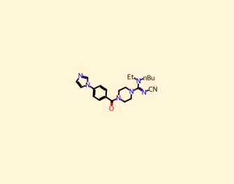 CCCCN(CC)C(=NC#N)N1CCN(C(=O)c2ccc(-n3ccnc3)cc2)CC1